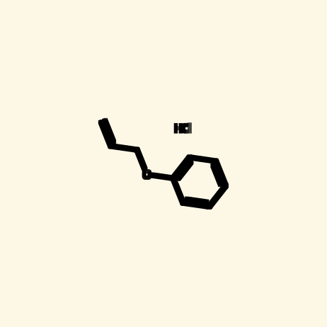 C=CCOc1ccccc1.Cl